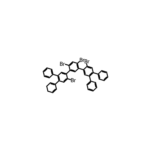 Brc1cc(Br)c(-c2cc(-c3ccccc3)c(-c3ccccc3)cc2Br)cc1-c1cc(-c2ccccc2)c(C2=CCCC=C2)cc1Br